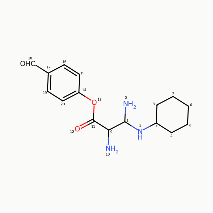 NC(NC1CCCCC1)C(N)C(=O)Oc1ccc(C=O)cc1